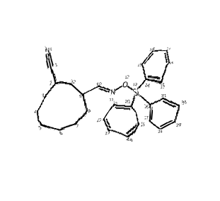 N#CC1CCCCCCC(/C=N/O[Si](c2ccccc2)(c2ccccc2)c2ccccc2)C1